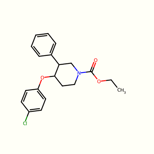 CCOC(=O)N1CCC(Oc2ccc(Cl)cc2)C(c2ccccc2)C1